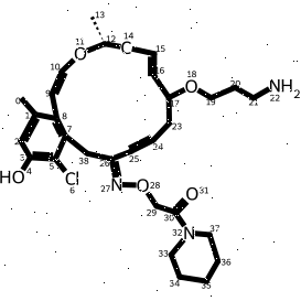 Cc1cc(O)c(Cl)c2c1C=CO[C@H](C)C/C=C/C(OCCCN)C/C=C/C(=N\OCC(=O)N1CCCCC1)C2